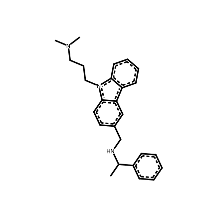 CC(NCc1ccc2c(c1)c1ccccc1n2CCCN(C)C)c1ccccc1